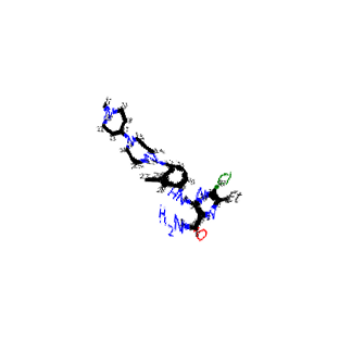 CCc1nc(C(N)=O)c(Nc2ccc(N3CCN(C4CCN(C)CC4)CC3)c(C)c2)nc1Cl